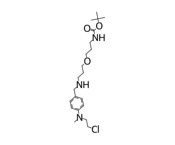 CN(CCCl)c1ccc(CNCCCOCCCNC(=O)OC(C)(C)C)cc1